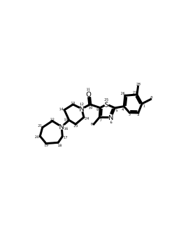 Cc1ccc(-c2nc(C)c(C(=O)N3CCC(N4CCCCCC4)CC3)s2)cc1C